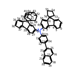 c1ccc2c(c1)-c1cc(N(c3ccc(-c4ccc5ccccc5c4)cc3)c3ccc4c(c3)C3(c5ccccc5-4)C4CCC5CC(C4)CC3C5)ccc1C21CCCC1